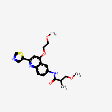 COCCOc1cc(-c2cncs2)nc2ccc(NC(=O)C(C)COC)cc12